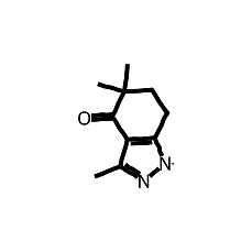 CC1=N[N]C2=C1C(=O)C(C)(C)CC2